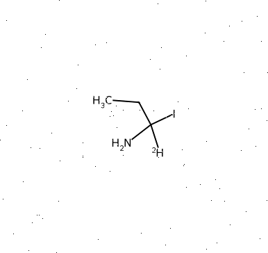 [2H]C(N)(I)CC